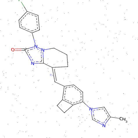 Cc1cn(-c2ccc(/C=C3\CCCn4c3nc(=O)n4-c3ccc(F)cc3)c3c2CC3)cn1